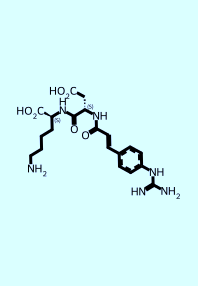 N=C(N)Nc1ccc(C=CC(=O)N[C@@H](CC(=O)O)C(=O)N[C@@H](CCCCN)C(=O)O)cc1